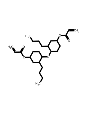 C=CC(=O)OC1CCC(OC2CCC(OC(=O)C=C)CC2CCCC)C(CCCC)C1